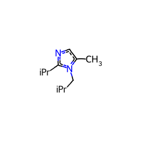 Cc1cnc(C(C)C)n1CC(C)C